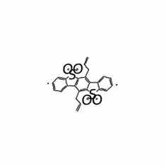 C=CCc1c2c(c(CC=C)c3c1S(=O)(=O)c1c[c]ccc1-3)S(=O)(=O)c1c[c]ccc1-2